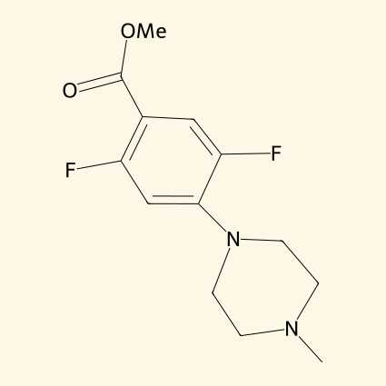 COC(=O)c1cc(F)c(N2CCN(C)CC2)cc1F